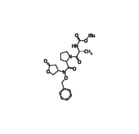 CC(NC(=O)OC(C)(C)C)C(=O)N1CCCC1C(=O)N(OCc1ccccc1)C1COC(=O)C1